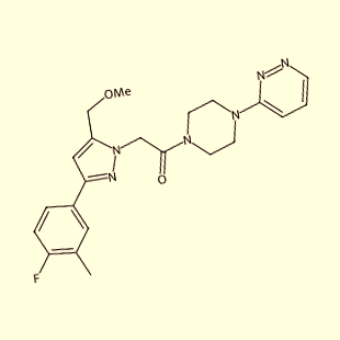 COCc1cc(-c2ccc(F)c(C)c2)nn1CC(=O)N1CCN(c2cccnn2)CC1